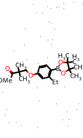 CCc1cc(OCC(C)(C)C(=O)OC)ccc1B1OC(C)(C)C(C)(C)O1